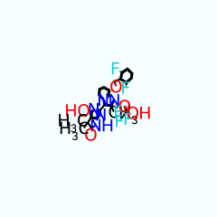 Cc1nc2c(OCc3c(F)cccc3F)cccn2c1-c1nc(O)c2c(n1)NC(=O)C2(C)C.O=C(O)C(F)(F)F